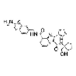 Nc1nc2ccc(CNC(=O)c3cccn4c(C(=O)NC5(CO)CCCC5)c(-c5ccsc5)nc34)cc2s1